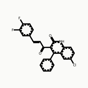 O=C(C=Cc1ccc(F)c(F)c1)c1c(-c2ccccc2)c2cc(Cl)ccc2[nH]c1=O